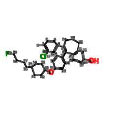 Cc1ccc(C2=C(c3ccc(OC4CCC(CCCCF)CC4)cc3)c3ccc(O)cc3CCC2)cc1Cl